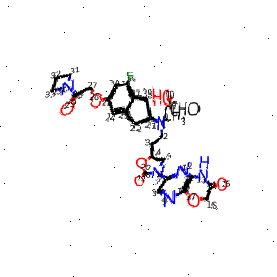 CN(CCC1CN(c2cnc3c(n2)NC(=O)CO3)C(=O)O1)C1Cc2cc(OCC(=O)N3CCC3)cc(F)c2C1.O=CO